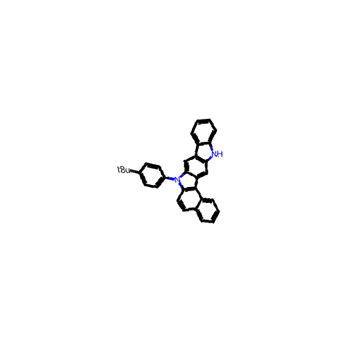 CC(C)(C)c1ccc(-n2c3cc4c(cc3c3c5ccccc5ccc32)[nH]c2ccccc24)cc1